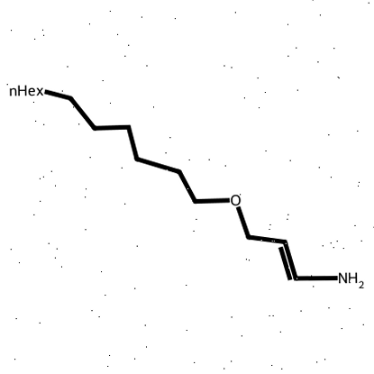 CCCCCCCCCCCCOCC=CN